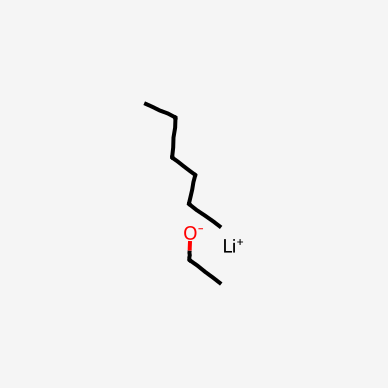 CCCCCC.CC[O-].[Li+]